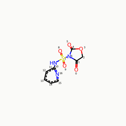 O=C1COC(=O)N1S(=O)(=O)Nc1ccccn1